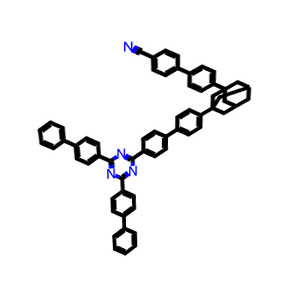 N#Cc1ccc(-c2ccc(C34CC5CC(C3)CC(c3ccc(-c6ccc(-c7nc(-c8ccc(-c9ccccc9)cc8)nc(-c8ccc(-c9ccccc9)cc8)n7)cc6)cc3)(C5)C4)cc2)cc1